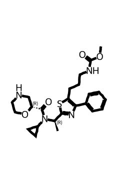 COC(=O)NCCCc1sc([C@@H](C)N(C(=O)[C@H]2CNCCO2)C2CC2)nc1-c1ccccc1